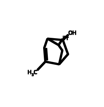 CC1=CC2C(O)CC1CC2C(C)C